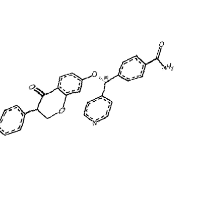 NC(=O)c1ccc([C@@H](Oc2ccc3c(c2)OCC(c2ccccc2)C3=O)c2ccncc2)cc1